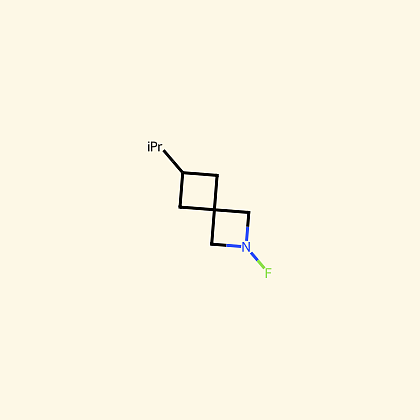 CC(C)C1CC2(C1)CN(F)C2